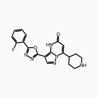 O=c1cc(C2CCNCC2)n2ncc(-c3nnc(-c4ccccc4F)o3)c2[nH]1